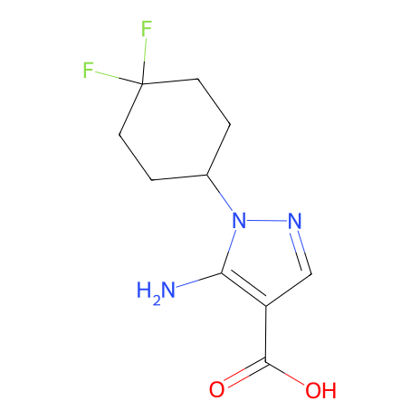 Nc1c(C(=O)O)cnn1C1CCC(F)(F)CC1